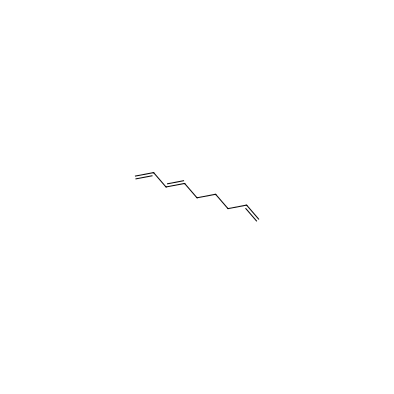 C=CC=CCCCC=C